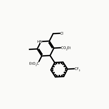 CCOC(=O)C1=C(C)NC(CCl)=C(C(=O)OCC)C1c1cccc(C(F)(F)F)c1